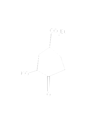 CCOC(=O)C1CCC(=O)C(O)C1